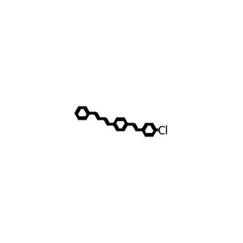 Clc1ccc(/C=C/c2ccc(/C=C/C=C/c3ccccc3)cc2)cc1